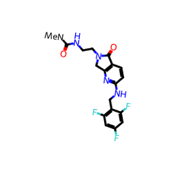 CNC(=O)NCCN1Cc2nc(NCc3c(F)cc(F)cc3F)ccc2C1=O